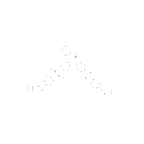 Nc1ccc(S(=O)(=O)c2ccc(P(=O)(c3ccccc3)c3ccc(S(=O)(=O)c4ccc(N)cc4)cc3)cc2)cc1